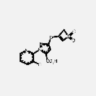 O=C(O)c1cc(OC2=CS(=O)(=O)C2)nn1-c1ncccc1Cl